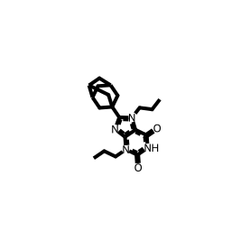 CCCn1c(C23CC4CC(C2)C(C4)C3)nc2c1c(=O)[nH]c(=O)n2CCC